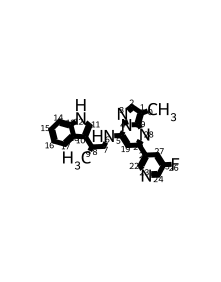 Cc1cnn2c(NCC(C)c3c[nH]c4ccccc34)cc(-c3cncc(F)c3)nc12